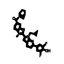 Cn1c(-c2cc3ccc(-c4cc(F)c(O)c(F)c4)nc3n2CC2CC2)nc2cc(C(=O)N3CC4CCC3C4)ccc21